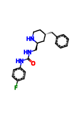 O=C(NC[C@@H]1C[C@@H](Cc2ccccc2)CCN1)Nc1ccc(F)cc1